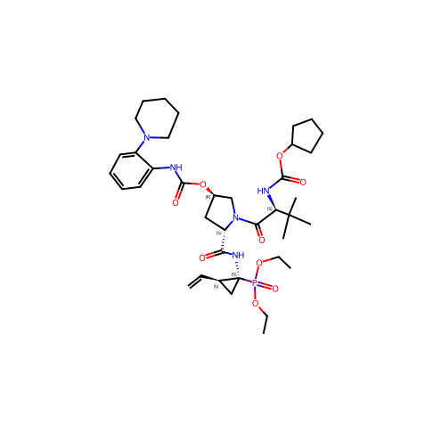 C=C[C@@H]1C[C@]1(NC(=O)[C@@H]1C[C@@H](OC(=O)Nc2ccccc2N2CCCCC2)CN1C(=O)[C@@H](NC(=O)OC1CCCC1)C(C)(C)C)P(=O)(OCC)OCC